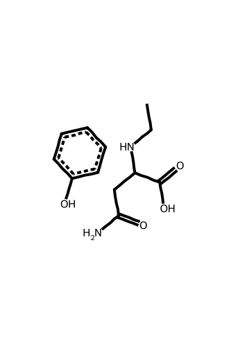 CCNC(CC(N)=O)C(=O)O.Oc1ccccc1